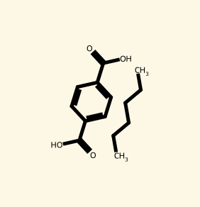 CCCCCC.O=C(O)c1ccc(C(=O)O)cc1